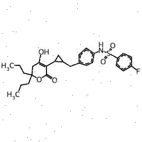 CCCC1(CCC)CC(O)=C(C2CC2Cc2ccc(NS(=O)(=O)c3ccc(F)cc3)cc2)C(=O)O1